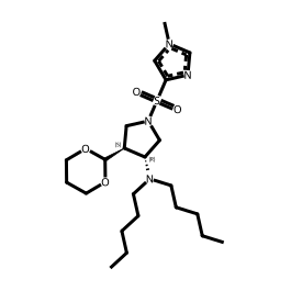 CCCCCN(CCCCC)[C@H]1CN(S(=O)(=O)c2cn(C)cn2)C[C@@H]1C1OCCCO1